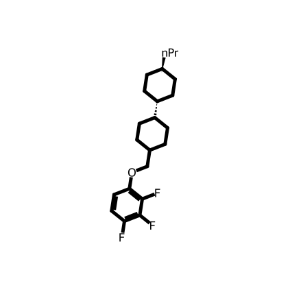 CCC[C@H]1CC[C@H](C2CCC(COc3ccc(F)c(F)c3F)CC2)CC1